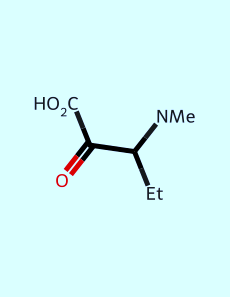 CCC(NC)C(=O)C(=O)O